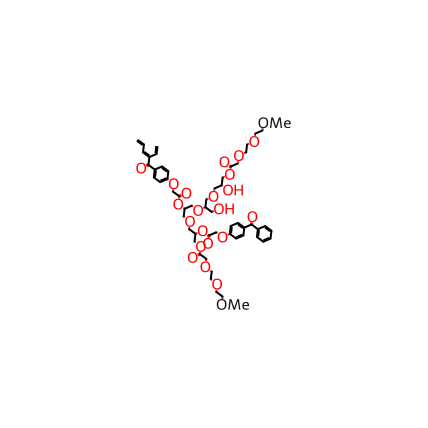 C=C/C=C(\C=C)C(=O)c1ccc(OCC(=O)OC(COCC(COC(=O)COCCOCCOC)OC(=O)COc2ccc(C(=O)c3ccccc3)cc2)COC(CO)COCC(O)COC(=O)COCCOCCOC)cc1